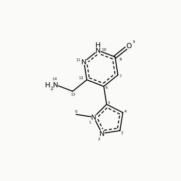 Cn1nccc1-c1cc(=O)[nH]nc1CN